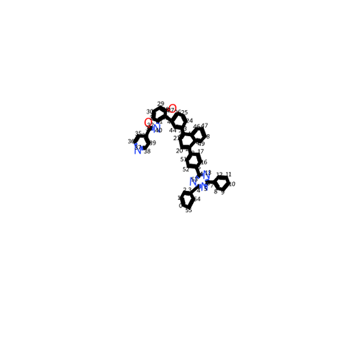 c1ccc(-c2nc(-c3ccccc3)nc(-c3ccc(-c4ccc(-c5ccc6oc7ccc8oc(-c9ccncc9)nc8c7c6c5)c5ccccc45)cc3)n2)cc1